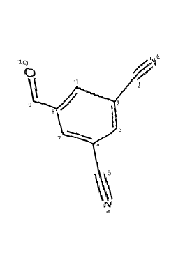 N#Cc1cc(C#N)cc(C=O)c1